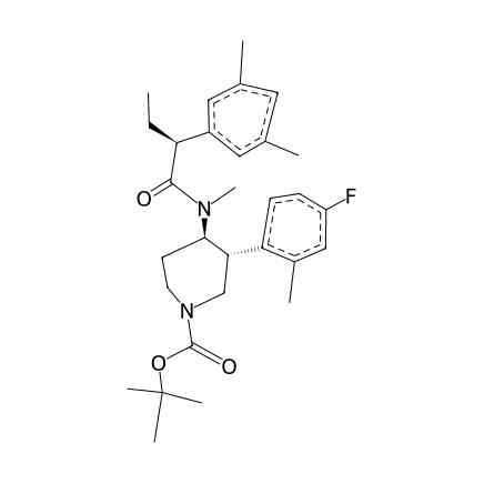 CC[C@H](C(=O)N(C)[C@@H]1CCN(C(=O)OC(C)(C)C)C[C@H]1c1ccc(F)cc1C)c1cc(C)cc(C)c1